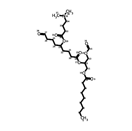 CCCCCCCCC(=O)OCC(COC=O)OC(=O)CCCC(CCCC=O)OC(=O)CCCN(C)C